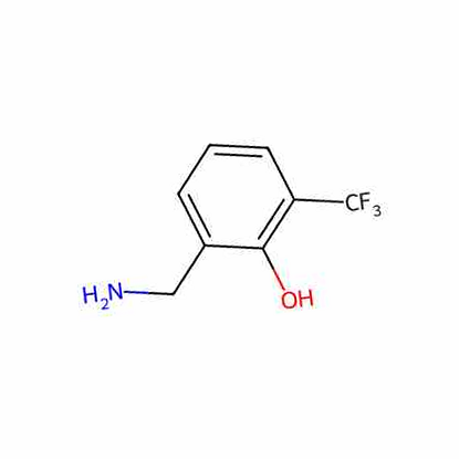 NCc1cccc(C(F)(F)F)c1O